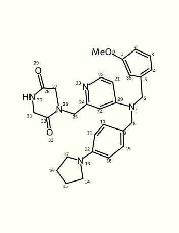 COc1cccc(CN(Cc2ccc(N3CCCC3)cc2)c2ccnc(CN3CC(=O)NCC3=O)c2)c1